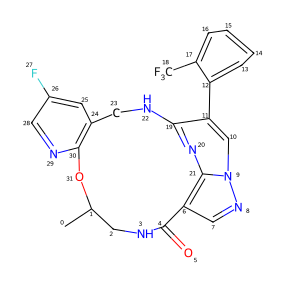 CC1CNC(=O)c2cnn3cc(-c4ccccc4C(F)(F)F)c(nc23)NCc2cc(F)cnc2O1